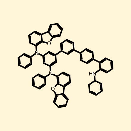 C1=CCC(Nc2ccccc2-c2ccc(-c3cccc(-c4cc(N(c5ccccc5)c5cccc6c5oc5ccccc56)cc(N(c5ccccc5)c5cccc6c5oc5ccccc56)c4)c3)cc2)C=C1